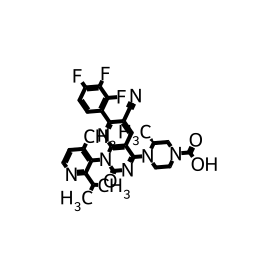 Cc1ccnc(C(C)C)c1-n1c(=O)nc(N2CCN(C(=O)O)C[C@@H]2C)c2cc(C#N)c(-c3ccc(F)c(F)c3F)nc21